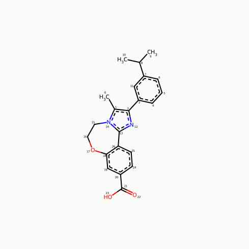 Cc1c(-c2cccc(C(C)C)c2)nc2n1CCOc1cc(C(=O)O)ccc1-2